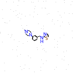 CN1CCN(c2cccc(CNc3nccs3)c2)CC1